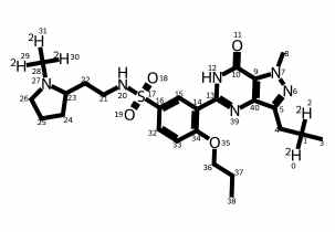 [2H]C([2H])(C)Cc1nn(C)c2c(=O)[nH]c(-c3cc(S(=O)(=O)NCCC4CCCN4C([2H])([2H])[2H])ccc3OCCC)nc12